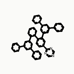 c1ccc(-c2cc(-c3ccccc3)cc(-c3ccccc3-c3ccc(-c4ncncn4)cc3-c3cc(-c4ccccc4)cc(-c4ccccc4)c3)c2)cc1